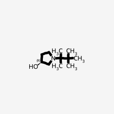 CC(C)(C)C(C)(C)N1CC[C@@H](O)C1